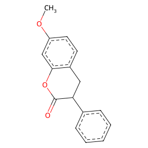 COc1ccc2c(c1)OC(=O)C(c1ccccc1)C2